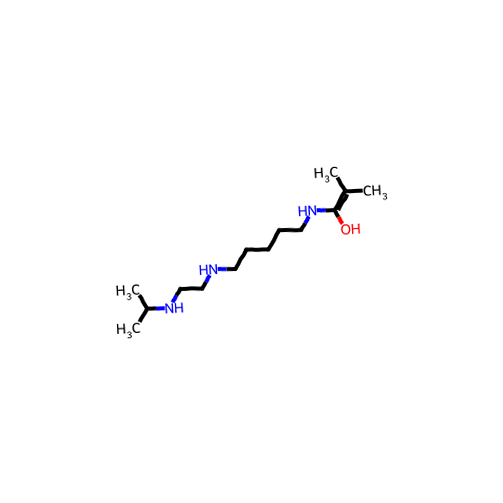 CC(C)=C(O)NCCCCCNCCNC(C)C